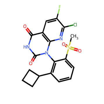 CS(=O)(=O)c1cccc(C2CCC2)c1-n1c(=O)[nH]c(=O)c2cc(F)c(Cl)nc21